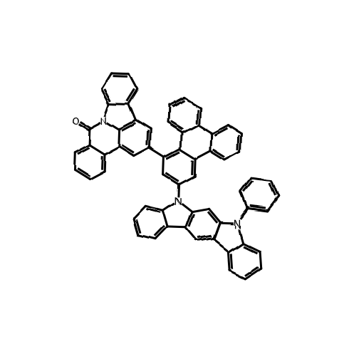 O=c1c2ccccc2c2cc(-c3cc(-n4c5ccccc5c5cc6c7ccccc7n(-c7ccccc7)c6cc54)cc4c5ccccc5c5ccccc5c34)cc3c4ccccc4n1c23